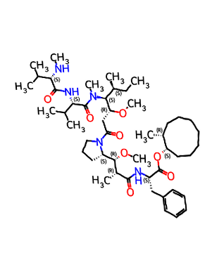 CC[C@H](C)[C@@H]([C@@H](CC(=O)N1CCC[C@H]1[C@H](OC)[C@@H](C)C(=O)N[C@@H](Cc1ccccc1)C(=O)O[C@H]1CCCCCCC[C@H]1C)OC)N(C)C(=O)[C@@H](NC(=O)[C@@H](NC)C(C)C)C(C)C